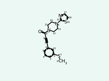 CSc1cccc(C#CC(=O)N2CCN(c3nccs3)CC2)c1